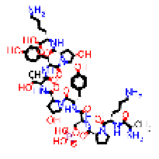 C[C@H](N)C(=O)N[C@@H](CCCCN)C(=O)N1CCC[C@H]1C(=O)N[C@@H](COP(=O)(O)O)C(=O)N[C@@H](Cc1ccc(O)cc1)C(=O)N1C[C@H](O)C[C@H]1C(=O)N[C@H](C(=O)N[C@@H](Cc1ccc(O)cc1)C(=O)N1C[C@H](O)C[C@H]1C(=O)N[C@@H](CCCCN)C(=O)O)[C@@H](C)O